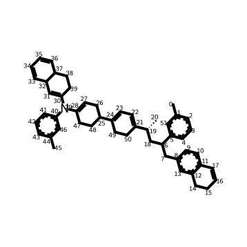 Cc1cccc(C(Cc2ccc3c(c2)CCC=C3)C[C@@H](C)C2=CC=C(C3CC=C(N(C4=CC5C=CC=CC5CC4)c4cccc(C)c4)CC3)CC2)c1